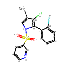 O=Cc1cn(S(=O)(=O)c2cccnc2)c(-c2ccccc2F)c1Cl